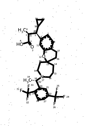 C[C@H](C(=O)O)[C@H](c1ccc2c(c1)OC1(CCCN([C@@H](C)c3cc(C(F)(F)F)ccc3C(F)(F)F)CC1)CC2)C1CC1